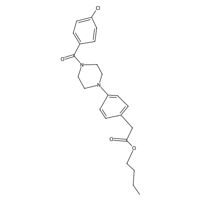 CCCCOC(=O)Cc1ccc(N2CCN(C(=O)c3ccc(Cl)cc3)CC2)cc1